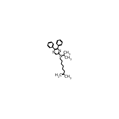 C=C(C)CCCCCCN(c1cnc(-c2ccccc2)c(-c2ccccc2)n1)C(C)C